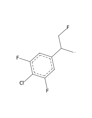 [CH2]C(CF)c1cc(F)c(Cl)c(F)c1